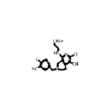 COCCNc1nc(Cl)c(C#N)c2c1CN(Cc1ccc(F)c(C#N)c1)CC2